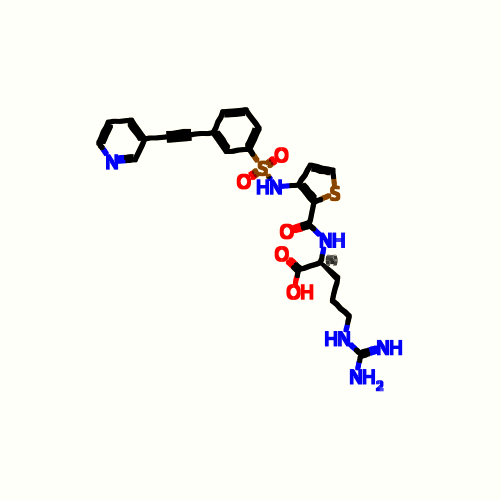 N=C(N)NCCC[C@H](NC(=O)c1sccc1NS(=O)(=O)c1cccc(C#Cc2cccnc2)c1)C(=O)O